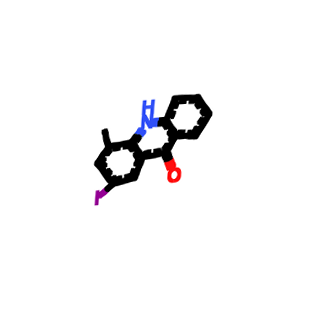 Cc1cc(I)cc2c(=O)c3ccccc3[nH]c12